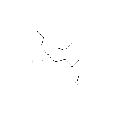 CCOC([SiH3])(CCC(C)(C)CN)OCC